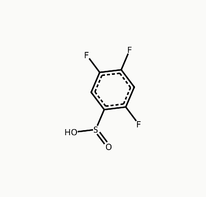 O=S(O)c1cc(F)c(F)cc1F